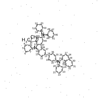 CC1(C)c2ccccc2-n2c3ccc(-c4ccc(N(c5ccccc5)c5cccc6ccccc56)cc4)cc3c3cc(N(c4ccccc4)c4ccccc4)cc1c32